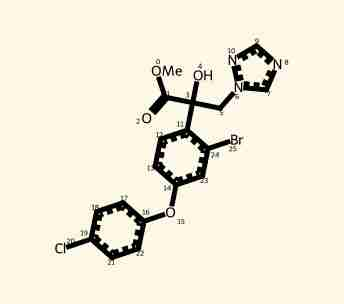 COC(=O)C(O)(Cn1cncn1)c1ccc(Oc2ccc(Cl)cc2)cc1Br